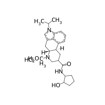 CC(C)n1cc2c3c(cccc31)[C@H]1CC(C(=O)NC3CCCC3O)CN(C)[C@@H]1C2.Cl.O